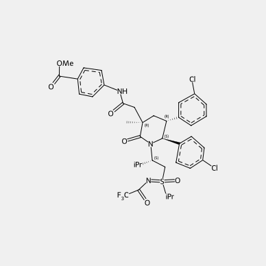 COC(=O)c1ccc(NC(=O)C[C@@]2(C)C[C@H](c3cccc(Cl)c3)[C@@H](c3ccc(Cl)cc3)N([C@H](CS(=O)(=NC(=O)C(F)(F)F)C(C)C)C(C)C)C2=O)cc1